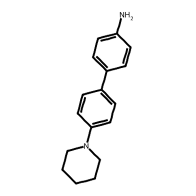 Nc1ccc(-c2ccc(N3CCCCC3)cc2)cc1